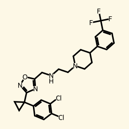 FC(F)(F)c1cccc(C2CCN(CCNCc3nc(C4(c5ccc(Cl)c(Cl)c5)CC4)no3)CC2)c1